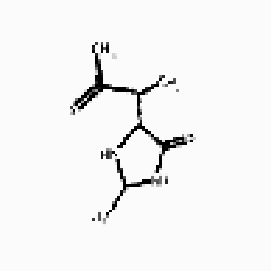 CC(=S)C(C)C1NC(C)NC1=O